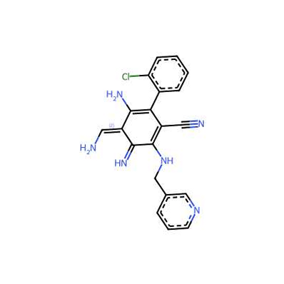 N#CC1=C(NCc2cccnc2)C(=N)/C(=C\N)C(N)=C1c1ccccc1Cl